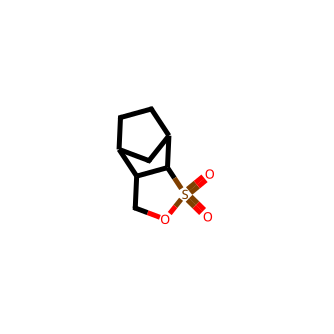 O=S1(=O)OCC2C3CCC(C3)C21